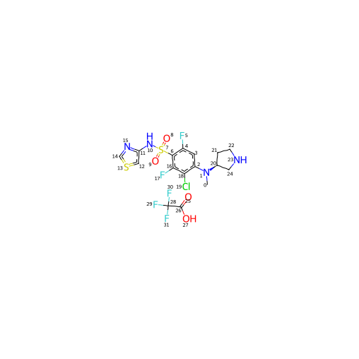 CN(c1cc(F)c(S(=O)(=O)Nc2cscn2)c(F)c1Cl)[C@H]1CCNC1.O=C(O)C(F)(F)F